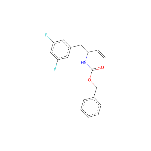 C=CC(Cc1cc(F)cc(F)c1)NC(=O)OCc1ccccc1